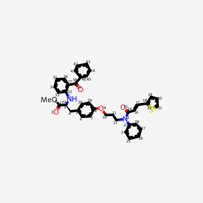 COC(=O)[C@H](Cc1ccc(OCCCN(C(=O)C=Cc2cccs2)c2ccccc2)cc1)Nc1ccccc1C(=O)c1ccccc1